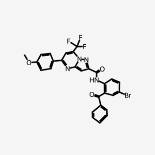 COc1ccc(-c2cc(C(F)(F)F)n3nc(C(=O)Nc4ccc(Br)cc4C(=O)c4ccccc4)cc3n2)cc1